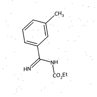 CCOC(=O)NC(=N)c1cccc(C)c1